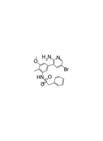 COc1cc(-c2cc(Br)cnc2N)cc(NS(=O)(=O)Cc2ccccc2)c1C